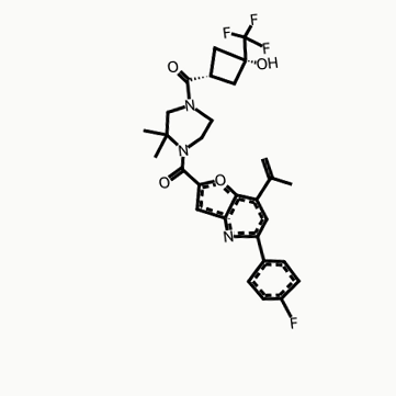 C=C(C)c1cc(-c2ccc(F)cc2)nc2cc(C(=O)N3CCN(C(=O)[C@H]4C[C@](O)(C(F)(F)F)C4)CC3(C)C)oc12